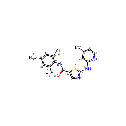 CCc1ccnc(Nc2ncc(C(=O)Nc3c(C)cc(C)cc3C)s2)c1